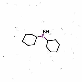 BP(C1CCCCC1)C1CCCCC1